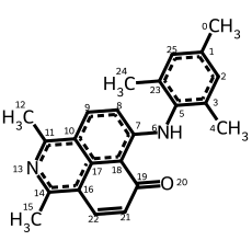 Cc1cc(C)c(Nc2ccc3c(C)nc(C)c4c3c2C(=O)C=C4)c(C)c1